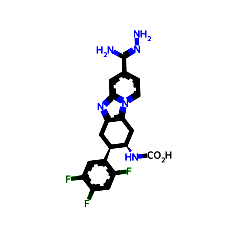 N/N=C(\N)c1ccn2c3c(nc2c1)C[C@H](c1cc(F)c(F)cc1F)[C@@H](NC(=O)O)C3